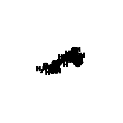 CN[C@H](C(=O)N[C@@H](CCCNC(N)=O)C(=O)Nc1ccc(COC(=O)N[C@H]2C[C@H](O[C@H]3C[C@](O)(C(=O)CO)Cc4c(O)c5c(c(O)c43)C(=O)c3c(OC)cccc3C5=O)O[C@@H](C)[C@H]2O)cc1)C(C)C